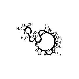 CCC1C(=O)O[C@@H]2C=C[C@@]3(O[C@@H]([C@@H](C)C[C@H]3C)[C@@H](CC)C(=O)[C@@H](C)[C@@H](O)[C@H](C)[C@@H]3O[C@@H]1CC[C@@H]3C)O[C@@]21CC[C@@](C)([C@H]2CC[C@](O)(CC)[C@H](C)O2)O1